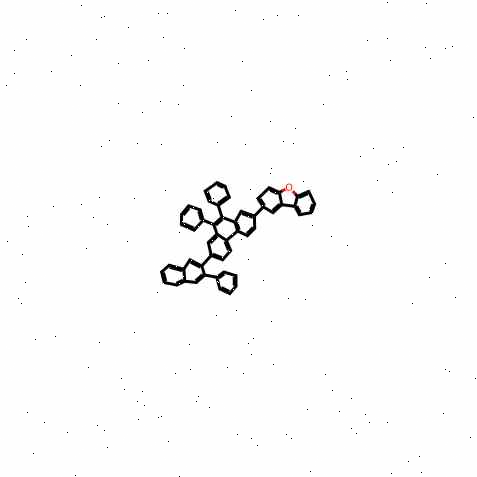 c1ccc(-c2cc3ccccc3cc2-c2ccc3c(c2)c(-c2ccccc2)c(-c2ccccc2)c2cc(-c4ccc5oc6ccccc6c5c4)ccc23)cc1